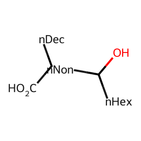 CCCCCCCCCC(O)CCCCCC.CCCCCCCCCCCC(=O)O